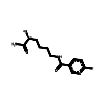 [2H][C@@H](CCCCNC(=O)c1ccc(F)nc1)C(N)=O